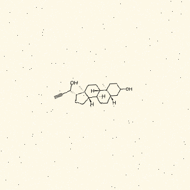 C#CC(O)[C@H]1CC[C@H]2[C@@H]3CC[C@H]4CC(O)CC[C@]4(C)[C@H]3CC[C@]12C